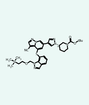 CC(C)(C)OC(=O)N1CCC[C@H](n2cc(-c3cc(Sc4cccc5cnn(COCC[Si](C)(C)C)c45)c4c(C#N)cnn4c3)cn2)C1